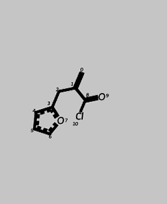 C=C(Cc1ccco1)C(=O)Cl